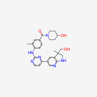 Cc1cc(C(=O)N2CCC(O)CC2)ccc1Nc1nccc(-c2cnc3c(c2)C(C)(CO)CN3)n1